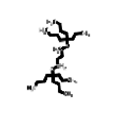 CCCCC(CCC)(CCCC)O[SiH2]CC[SiH2]OC(CCC)(CCCC)CCCC